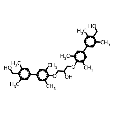 Cc1cc(-c2cc(C)c(OCC(O)COc3c(C)cc(-c4cc(C)c(CO)c(C)c4)cc3C)c(C)c2)cc(C)c1CO